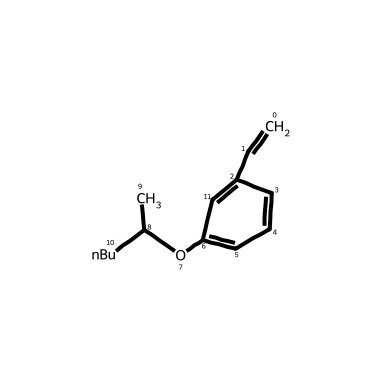 C=Cc1cccc(OC(C)CCCC)c1